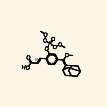 COOP(=O)(OOC)Oc1cc(C(OC)=C2C3CC4CC(C3)CC2C4)ccc1/C=C/C(=O)O